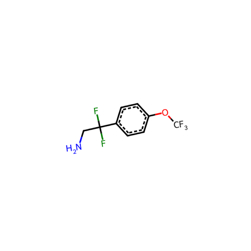 NCC(F)(F)c1ccc(OC(F)(F)F)cc1